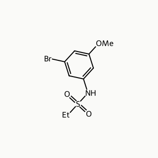 CCS(=O)(=O)Nc1cc(Br)cc(OC)c1